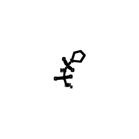 NS(=O)(=O)NS(=O)(=O)N1CCCC1